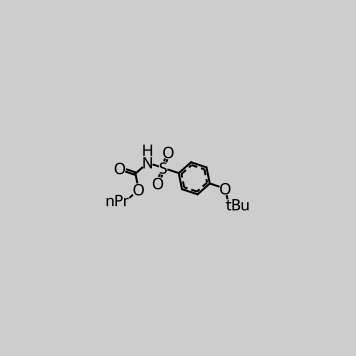 CCCOC(=O)NS(=O)(=O)c1ccc(OC(C)(C)C)cc1